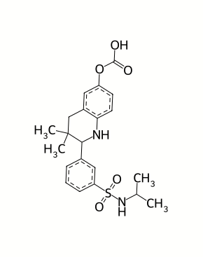 CC(C)NS(=O)(=O)c1cccc(C2Nc3ccc(OC(=O)O)cc3CC2(C)C)c1